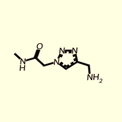 CNC(=O)Cn1cc(CN)nn1